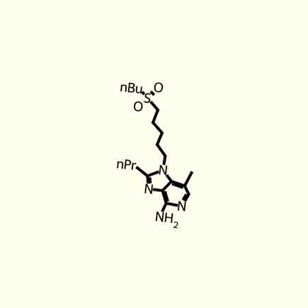 CCCCS(=O)(=O)CCCCCn1c(CCC)nc2c(N)ncc(C)c21